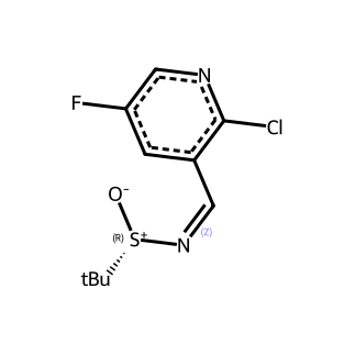 CC(C)(C)[S@+]([O-])/N=C\c1cc(F)cnc1Cl